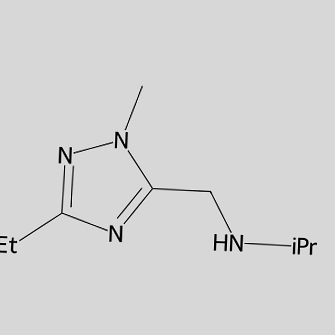 CCc1nc(CNC(C)C)n(C)n1